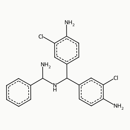 Nc1ccc(C(NC(N)c2ccccc2)c2ccc(N)c(Cl)c2)cc1Cl